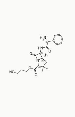 CC1(C)S[C@@H]2[C@H](NC(=O)[C@H](N)c3ccccc3)C(=O)N2[C@@H]1C(=O)OCCCC#N